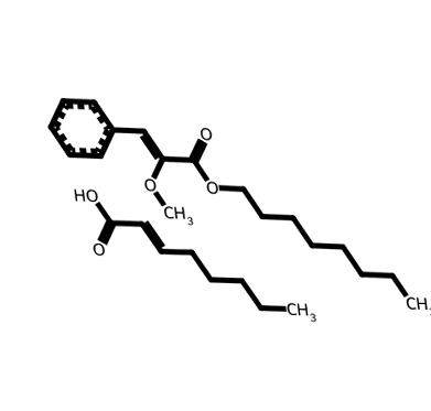 CCCCCC=CC(=O)O.CCCCCCCCOC(=O)C(=Cc1ccccc1)OC